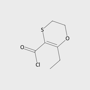 CCC1=C(C(=O)Cl)SCCO1